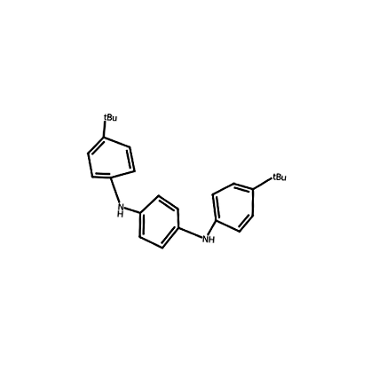 CC(C)(C)c1ccc(Nc2ccc(Nc3ccc(C(C)(C)C)cc3)cc2)cc1